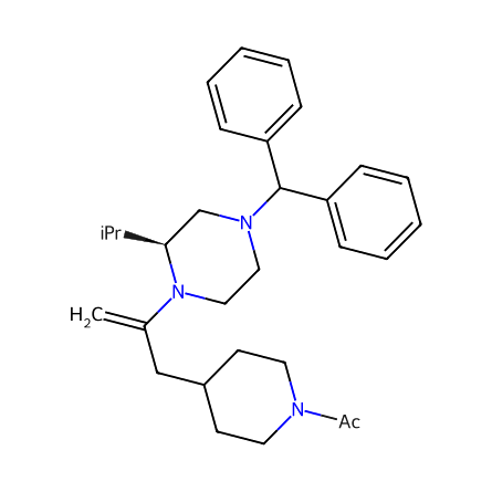 C=C(CC1CCN(C(C)=O)CC1)N1CCN(C(c2ccccc2)c2ccccc2)C[C@@H]1C(C)C